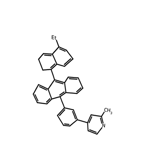 CCc1cccc2c1=CCCC=2c1c2ccccc2c(-c2cccc(-c3ccnc(C)c3)c2)c2ccccc12